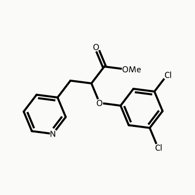 COC(=O)C(Cc1cccnc1)Oc1cc(Cl)cc(Cl)c1